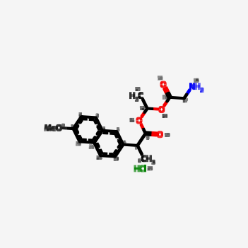 COc1ccc2cc(C(C)C(=O)OC(C)OC(=O)CN)ccc2c1.Cl